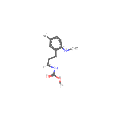 C[C@H](CCc1cc(C#N)ccc1NC=O)NC(=O)OC(C)(C)C